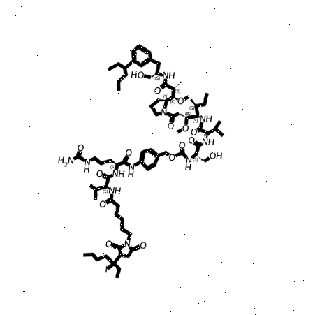 CCCCC(I)(CC)C1CC(=O)N(CCCCCC(=O)N[C@H](C(=O)N[C@@H](CCCNC(N)=O)C(=O)Nc2ccc(COC(=O)N[C@@H](CO)C(=O)N[C@H](C(=O)N[C@@H]([C@@H](C)CC)[C@@H](CC(=O)N3CCC[C@H]3[C@H](OC)[C@@H](C)C(=O)N[C@H](CO)Cc3cccc(C(CC)CCC)c3)OC)C(C)C)cc2)C(C)C)C1=O